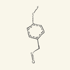 O=[S+]Cc1ccc(SF)cc1